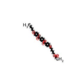 C=CC(=O)OCCCCCCOc1ccc(C(=O)OC2CCC(C(=O)Oc3ccc(OCCCCCC)cc3)CC2)cc1